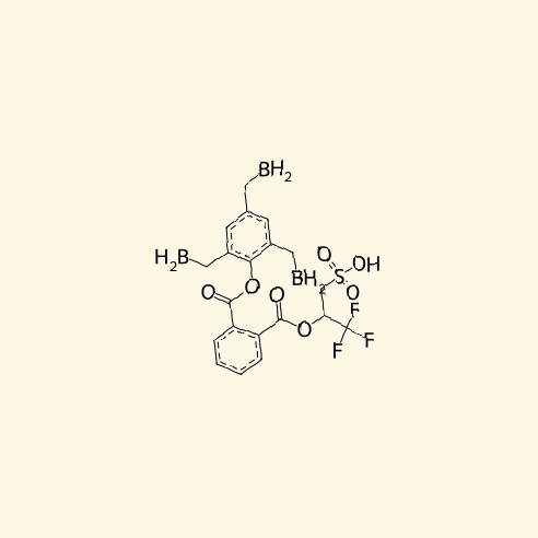 BCc1cc(CB)c(OC(=O)c2ccccc2C(=O)OC(CS(=O)(=O)O)C(F)(F)F)c(CB)c1